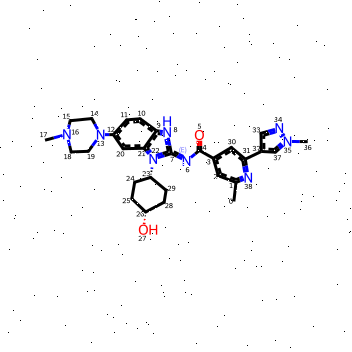 Cc1cc(C(=O)/N=c2\[nH]c3ccc(N4CCN(C)CC4)cc3n2[C@H]2CC[C@@H](O)CC2)cc(-c2cnn(C)c2)n1